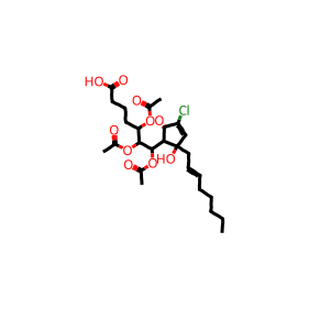 CCCCCC=CCC1(O)C=C(Cl)C(=O)C1C(OC(C)=O)C(OC(C)=O)C(CCCC(=O)O)OC(C)=O